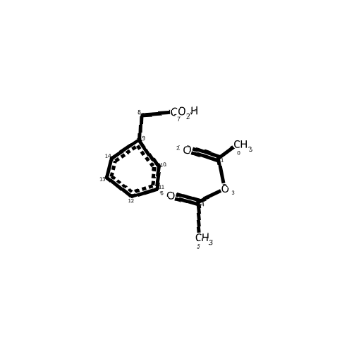 CC(=O)OC(C)=O.O=C(O)Cc1ccccc1